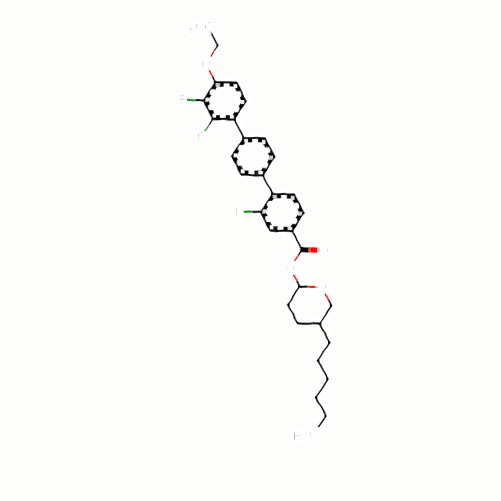 CCCCCCC1CCC(OC(=O)c2ccc(-c3ccc(-c4ccc(OCC)c(F)c4F)cc3)c(F)c2)OC1